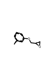 Cc1cc[c]c(OCC2CO2)c1